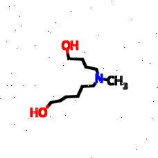 CN(CCCCO)CCCCCCO